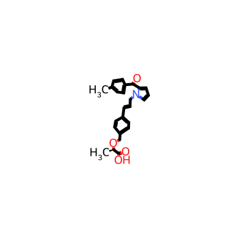 Cc1ccc(C(=O)c2cccn2C/C=C/c2ccc(CO[C@H](C)C(=O)O)cc2)cc1